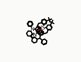 CC(C)(C)C1=CC=C2CCc3cc(-n4c5c(c6c4C(N(c4ccccc4)C4C=CC=CC4)CCC6)CCCC5C(C4=CC=CCC4)c4ccccc4)cc4c3[SH](c3cc(C(C)(C)C)ccc3CC4)C2C1